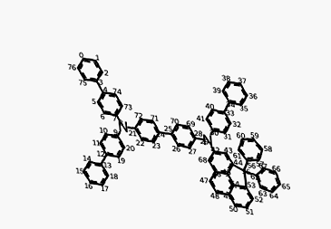 c1ccc(-c2ccc(N(c3ccc(-c4ccccc4)cc3)c3ccc(-c4ccc(N(c5ccc(-c6ccccc6)cc5)c5cc6c7c(ccc8cccc(c87)C6(c6ccccc6)c6ccccc6)c5)cc4)cc3)cc2)cc1